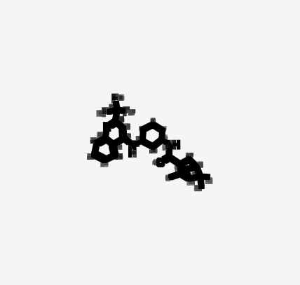 CC1C(C(=O)N[C@@H]2CCC[C@H](Nc3cc(C(F)(F)F)nc4ccccc34)C2)CC2CC1C2(C)C